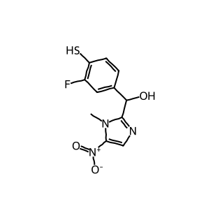 Cn1c([N+](=O)[O-])cnc1C(O)c1ccc(S)c(F)c1